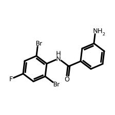 Nc1cccc(C(=O)Nc2c(Br)cc(F)cc2Br)c1